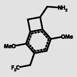 COc1cc(CC(F)(F)F)c(OC)c2c1C(CN)C2